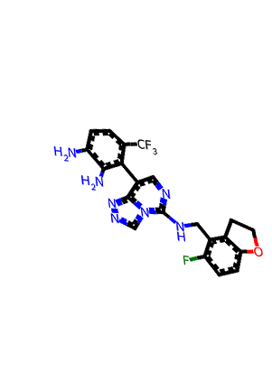 Nc1ccc(C(F)(F)F)c(-c2cnc(NCc3c(F)ccc4c3CCO4)n3cnnc23)c1N